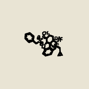 CC(=O)O[C@@]12CCC(N(C)S(=O)(=O)Cc3ccccc3)C3Oc4cccc5c4[C@@]31CCN(CC1CC1)[C@@H]2C5